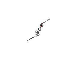 CCCCCC=CCO[C@@H]1CO[C@@H](c2ccc(C34CCC(CCCCCCC)(CC3)CC4)cc2)CO1